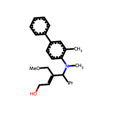 COC/C(=C\CO)C(C(C)C)N(C)c1ccc(-c2ccccc2)cc1C